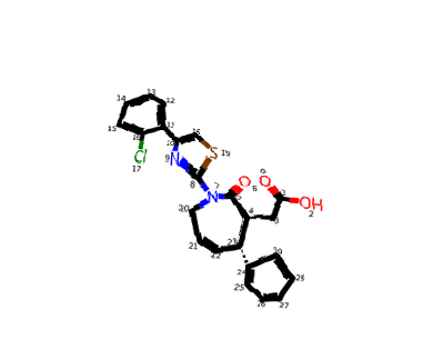 O=C(O)C[C@@H]1C(=O)N(c2nc(-c3ccccc3Cl)cs2)CC=C[C@H]1c1ccccc1